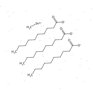 CCCCCCCCCC(=O)[O-].CCCCCCCCCC(=O)[O-].CCCCCCCCCC(=O)[O-].[CH3][Sn+3]